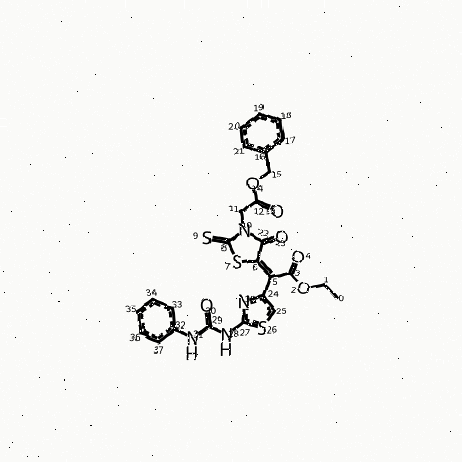 CCOC(=O)C(=C1SC(=S)N(CC(=O)OCc2ccccc2)C1=O)c1csc(NC(=O)Nc2ccccc2)n1